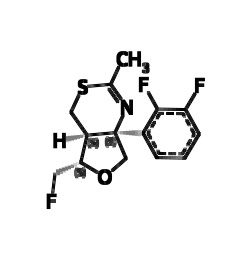 CC1=N[C@@]2(c3cccc(F)c3F)CO[C@H](CF)[C@H]2CS1